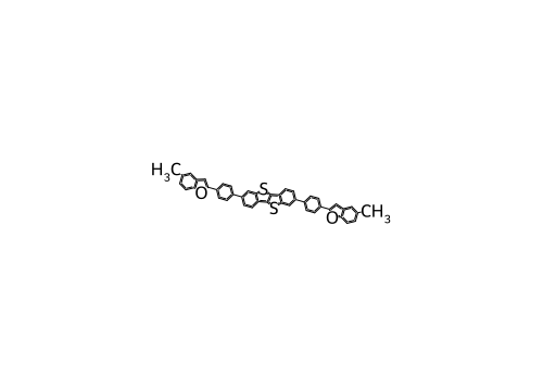 Cc1ccc2oc(-c3ccc(-c4ccc5c(c4)sc4c6ccc(-c7ccc(-c8cc9cc(C)ccc9o8)cc7)cc6sc54)cc3)cc2c1